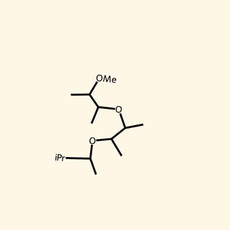 COC(C)C(C)OC(C)C(C)OC(C)C(C)C